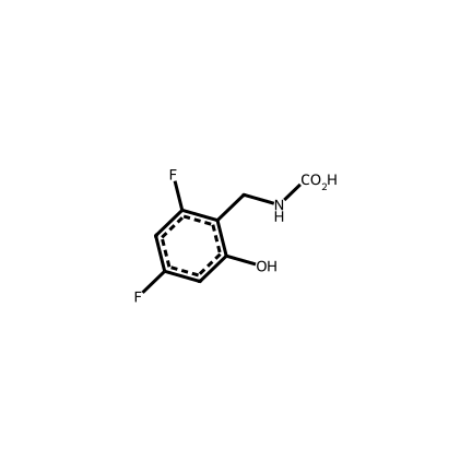 O=C(O)NCc1c(O)cc(F)cc1F